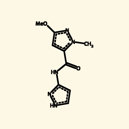 COc1cc(C(=O)Nc2cc[nH]n2)n(C)n1